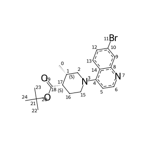 C[C@@H]1CN(c2ccnc3cc(Br)ccc23)CC[C@@H]1C(=O)OC(C)(C)C